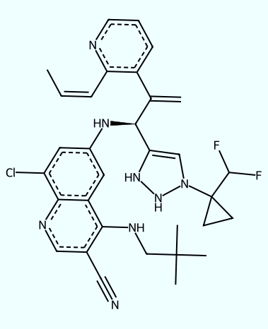 C=C(c1cccnc1/C=C\C)[C@H](Nc1cc(Cl)c2ncc(C#N)c(NCC(C)(C)C)c2c1)C1=CN(C2(C(F)F)CC2)NN1